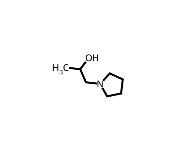 CC(O)CN1CCCC1